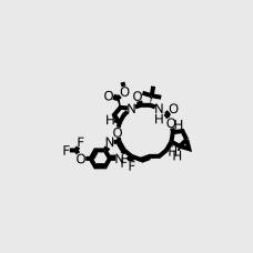 COC(=O)[C@@H]1C[C@@H]2CN1C(=O)[C@H](C(C)(C)C)NC(=O)O[C@@H]1CC3C[C@@H]3[C@H]1CC/C=C/C(F)(F)c1nc3ccc(OC(F)F)cc3nc1O2